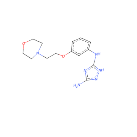 Nc1n[nH]c(Nc2cccc(OCCN3CCOCC3)c2)n1